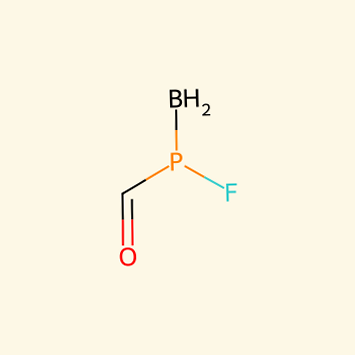 BP(F)C=O